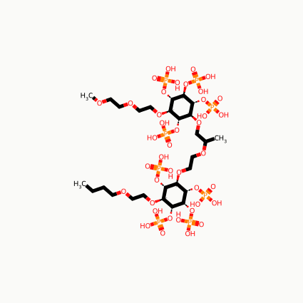 CCCCOCCO[C@H]1[C@H](OP(=O)(O)O)[C@@H](OCCOC(C)CO[C@H]2[C@H](OP(=O)(O)O)[C@@H](OCCOCCOC)[C@H](OP(=O)(O)O)[C@@H](OP(=O)(O)O)[C@@H]2OP(=O)(O)O)[C@H](OP(=O)(O)O)[C@H](OP(=O)(O)O)[C@@H]1OP(=O)(O)O